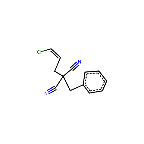 N#CC(C#N)(C/C=C\Cl)Cc1ccccc1